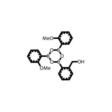 COc1ccccc1B1OB(c2ccccc2CO)OB(c2ccccc2OC)O1